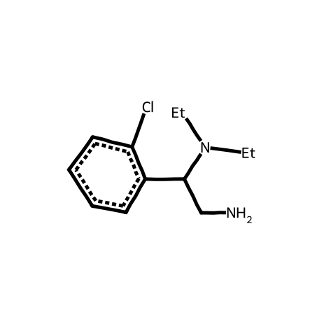 CCN(CC)C(CN)c1ccccc1Cl